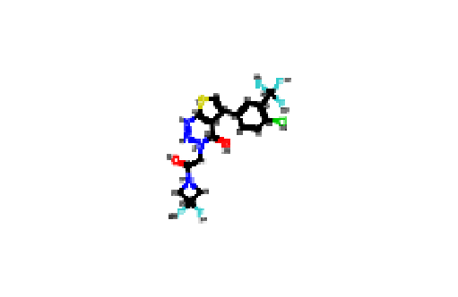 O=C(Cn1nnc2scc(-c3ccc(Cl)c(C(F)(F)F)c3)c2c1=O)N1CC(F)(F)C1